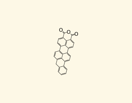 O=C1OC(=O)c2ccc3c4ccc5c6c(ccc(c7ccc1c2c73)c64)Cc1ccccc1-5